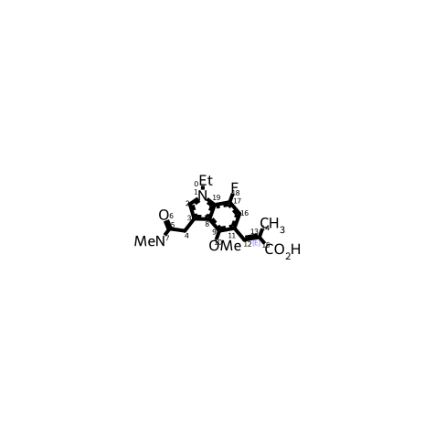 CCn1cc(CC(=O)NC)c2c(OC)c(/C=C(\C)C(=O)O)cc(F)c21